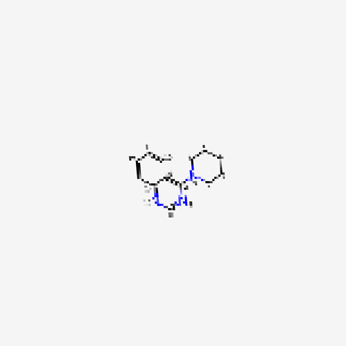 [c]1nc(N2CCCCC2)c2ccccc2n1